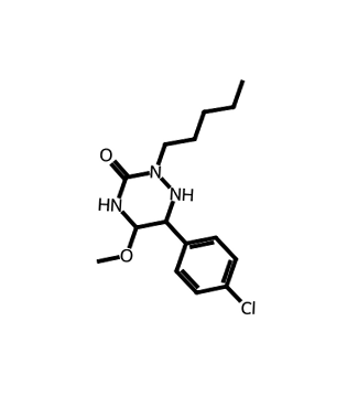 CCCCCN1NC(c2ccc(Cl)cc2)C(OC)NC1=O